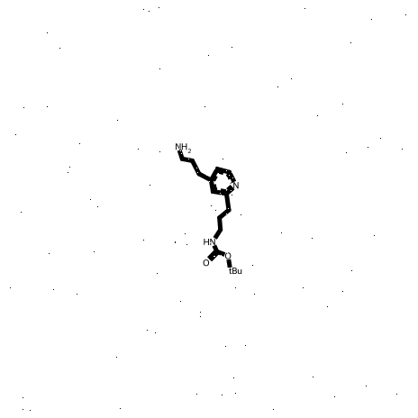 CC(C)(C)OC(=O)NCCCc1cc(CCCN)ccn1